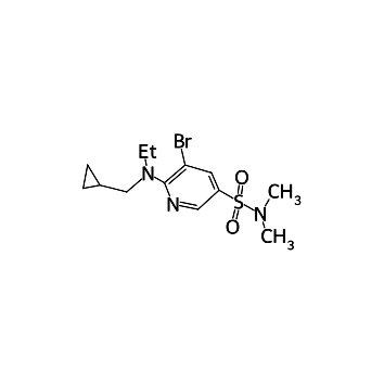 CCN(CC1CC1)c1ncc(S(=O)(=O)N(C)C)cc1Br